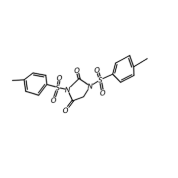 Cc1ccc(S(=O)(=O)N2CC(=O)N(S(=O)(=O)c3ccc(C)cc3)C2=O)cc1